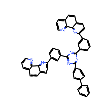 c1ccc(-c2ccc(-c3nc(-c4cccc(-c5ccc6ccc7cccnc7c6n5)c4)nc(-c4cccc(-c5ccc6ccc7cccnc7c6n5)c4)n3)cc2)cc1